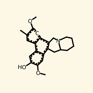 COc1cc2c3c(c4cc(OC)c(O)cc4c2cc1C)CC1CCCCN1C3